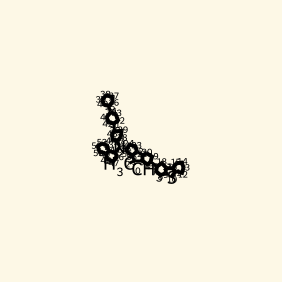 CC1(C)c2cc(-c3ccc4sc5ccccc5c4c3)ccc2-c2ccc(N(c3ccc(-c4ccc(-c5ccccc5)cc4)cc3)c3cccc4ccccc34)cc21